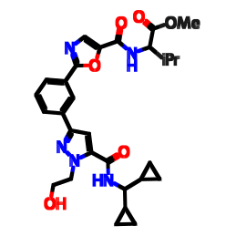 COC(=O)C(NC(=O)c1cnc(-c2cccc(-c3cc(C(=O)NC(C4CC4)C4CC4)n(CCO)n3)c2)o1)C(C)C